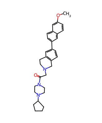 COc1ccc2cc(-c3ccc4c(c3)CCN(CC(=O)N3CCN(C5CCCC5)CC3)C4)ccc2c1